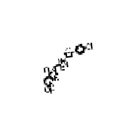 O=C1CCc2c(ncn(Cc3nc([C@@H]4CO[C@@H](c5ccc(Cl)cc5)C4)no3)c2=O)N1